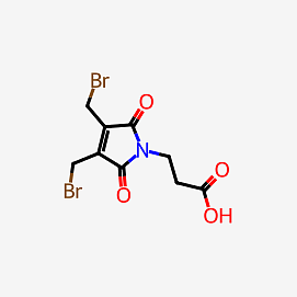 O=C(O)CCN1C(=O)C(CBr)=C(CBr)C1=O